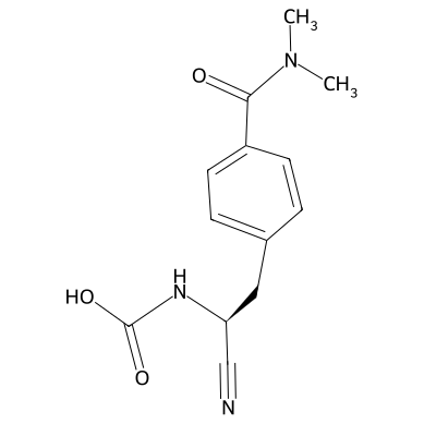 CN(C)C(=O)c1ccc(C[C@@H](C#N)NC(=O)O)cc1